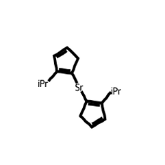 CC(C)C1=[C]([Sr][C]2=C(C(C)C)C=CC2)CC=C1